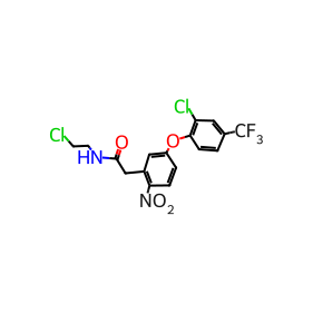 O=C(Cc1cc(Oc2ccc(C(F)(F)F)cc2Cl)ccc1[N+](=O)[O-])NCCCl